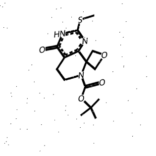 CSc1nc2c(c(=O)[nH]1)CCN(C(=O)OC(C)(C)C)C21COC1